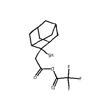 O=C(CC1(S)C2CC3CC(C2)CC1C3)OC(=O)C(F)(F)F